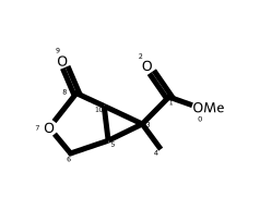 COC(=O)C1(C)C2COC(=O)C21